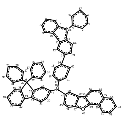 c1ccc(-n2c3ccccc3c3cc(-c4ccc(N(c5ccc6c(c5)C(c5ccccc5)(c5ccccc5)c5ccccc5-6)c5ccc6oc7c8ccccc8ccc7c6c5)cc4)ccc32)cc1